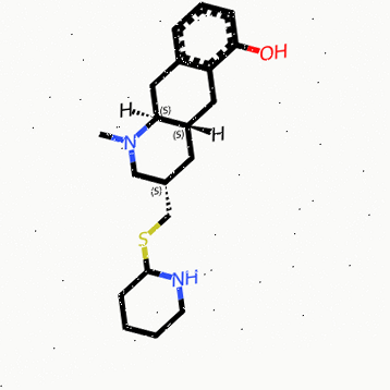 CN1C[C@@H](CSC2CCCCN2)C[C@H]2Cc3c(O)cccc3C[C@@H]21